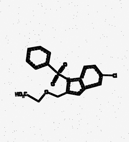 O=C(O)COCc1cc2cc(Cl)ccc2n1S(=O)(=O)c1ccccc1